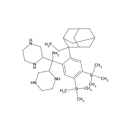 C[Si](C)(C)c1cc(C(P)(C2CNCCN2)C2CNCCN2)c(C2(CP)C3CC4CC(C3)CC2C4)cc1[Si](C)(C)C